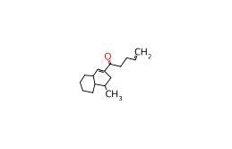 C=CCCC(=O)C1=CC2CCCCC2C(C)C1